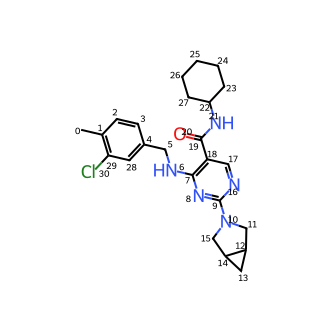 Cc1ccc(CNc2nc(N3CC4CC4C3)ncc2C(=O)NC2CCCCC2)cc1Cl